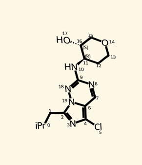 CC(C)Cc1nc(Cl)c2cnc(N[C@@H]3CCOC[C@H]3O)nn12